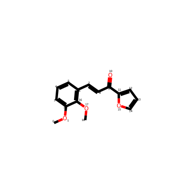 COc1cccc(C=CC(=O)c2ccco2)c1OC